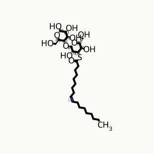 CCCCCCCC/C=C\CCCCCCCC(=O)S[C@@H]1[C@@H](O)[C@@H](O[C@H]2[C@H](O)[C@@H](O)[C@H](O)O[C@@H]2CO)O[C@H](CO)[C@H]1O